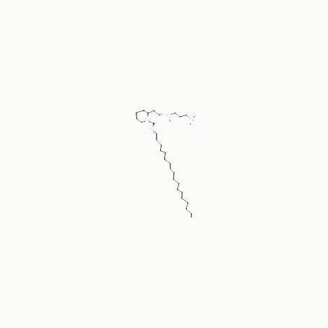 CCCCCCCCCCCCCCCCCCNC(=O)N1CCCCC1CCON(C=O)CCCN(C)C.Cl